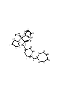 O=C(NC1CCN(CC2CCCCCC2)CC1)C(O)(c1ncc[nH]1)C1CCCC1